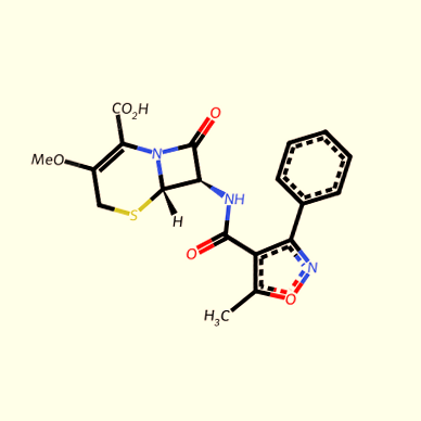 COC1=C(C(=O)O)N2C(=O)[C@@H](NC(=O)c3c(-c4ccccc4)noc3C)[C@@H]2SC1